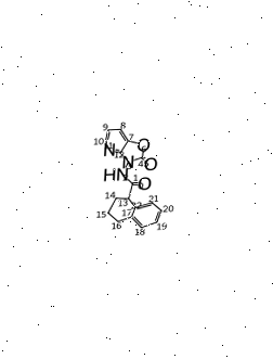 O=C(Nn1c(=O)oc2cccnc21)C1CCCc2ccccc21